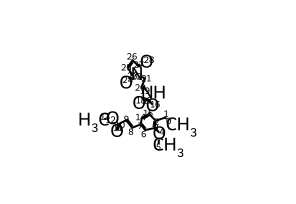 CCc1c(OC)cc(/C=C/C(=O)OC)cc1OC(=O)NCCN1C(=O)C=CC1=O